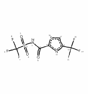 O=C(NS(=O)(=O)C(F)(F)F)c1nc(C(F)(F)F)cs1